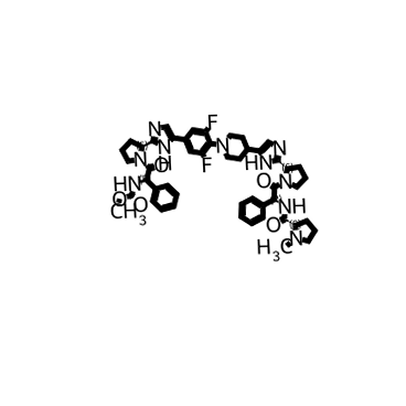 COC(=O)N[C@@H](C(=O)N1CCC[C@H]1c1ncc(-c2cc(F)c(N3CCC(c4cnc([C@@H]5CCCN5C(=O)[C@H](NC(=O)[C@@H]5CCCN5C)c5ccccc5)[nH]4)CC3)c(F)c2)[nH]1)c1ccccc1